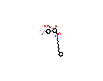 O=C(NCCCCCCCCc1ccccc1)c1cc(Br)c(OCCO)c(-c2ccc(C(F)(F)F)cc2)c1